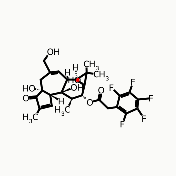 CC1=C[C@H]2[C@@]3(O)[C@H](C)[C@@H](OC(=O)Cc4c(F)c(F)c(F)c(F)c4F)[C@]4(O)[C@@H]([C@@H]3C=C(CO)C[C@]2(O)C1=O)C4(C)C